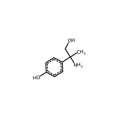 CC(N)(CO)c1ccc(O)cc1